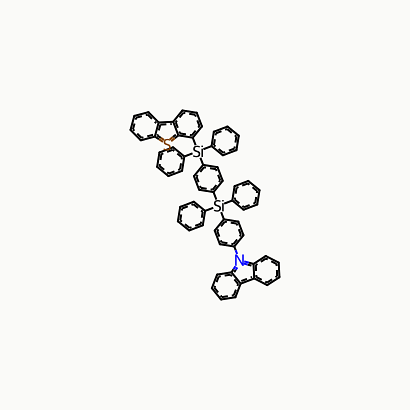 c1ccc([Si](c2ccccc2)(c2ccc(-n3c4ccccc4c4ccccc43)cc2)c2ccc([Si](c3ccccc3)(c3ccccc3)c3cccc4c3sc3ccccc34)cc2)cc1